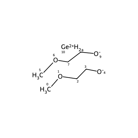 COCC[O-].COCC[O-].[GeH2+2]